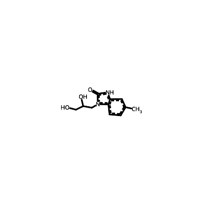 Cc1ccc2c(c1)[nH]c(=O)n2CC(O)CO